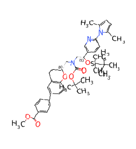 COC(=O)c1ccc(-c2ccc3c(c2)CC[C@H](CN(C[C@@H](O[Si](C)(C)C(C)(C)C)c2ccc(-n4c(C)ccc4C)nc2)C(=O)OC(C)(C)C)O3)cc1